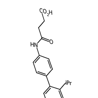 CC(C)c1ccccc1-c1ccc(NC(=O)CCC(=O)O)cc1